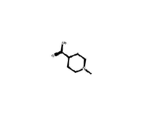 CC(C)C(=O)C1CCN(C)CC1